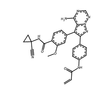 C=CC(=O)Nc1ccc(-c2nn3ncnc(N)c3c2-c2ccc(C(=O)NC3(C#N)CC3)c(OC)c2)cc1